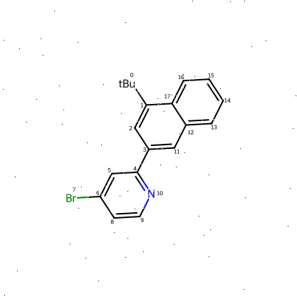 CC(C)(C)c1cc(-c2cc(Br)ccn2)cc2ccccc12